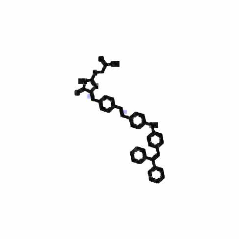 O=C(O)CSC1=N/C(=C\c2ccc(/C=C/c3ccc(Nc4ccc(C=C(c5ccccc5)c5ccccc5)cc4)cc3)cc2)C(=O)N1